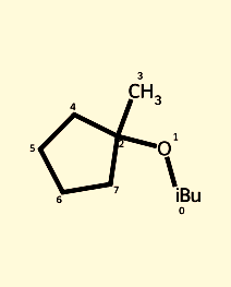 CCC(C)OC1(C)CCCC1